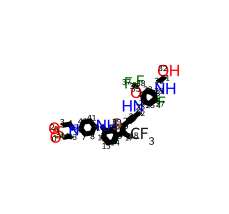 O=S1(=O)CCN(C2CCC(Nc3cccc4c(CC(F)(F)F)c(C#CCNc5cc(F)c(NCCO)cc5OC(F)F)sc34)CC2)CC1